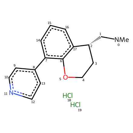 CNC[C@@H]1CCOc2c(-c3ccncc3)cccc21.Cl.Cl